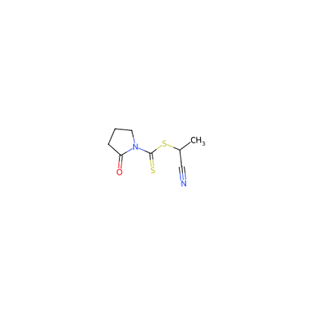 CC(C#N)SC(=S)N1CCCC1=O